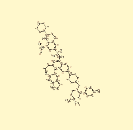 CC1(C)CCC(CN2CCN(c3ccc(C(=O)NS(=O)(=O)c4cc5c(c([N+](=O)[O-])c4)N[C@H](C4CCOCC4)CO5)c(N4CCCOc5nc6[nH]ccc6cc54)c3)CC2)=C(c2ccc(Cl)cc2)C1